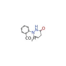 O=C1CC=CN(c2ccccc2C(=O)O)N1